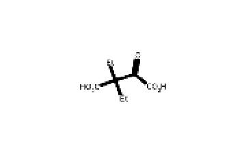 CCC(CC)(C(=O)O)C(=O)C(=O)O